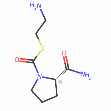 NCCSC(=O)N1CCC[C@H]1C(N)=O